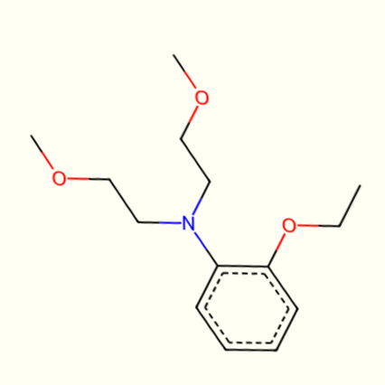 CCOc1ccccc1N(CCOC)CCOC